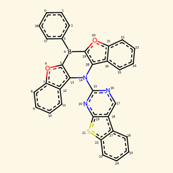 c1ccc(B2c3oc4ccccc4c3N(c3ncc4c(n3)sc3ccccc34)c3c2oc2ccccc32)cc1